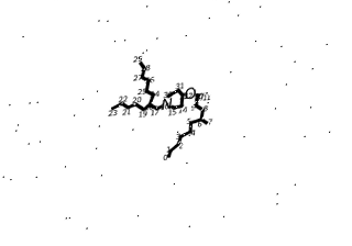 CCCCCCC(C)CC[C@@H](C)OC1CCN(CC(CCCCC)CCCCCC)CC1